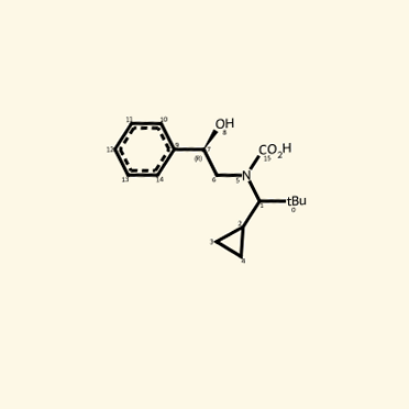 CC(C)(C)C(C1CC1)N(C[C@H](O)c1ccccc1)C(=O)O